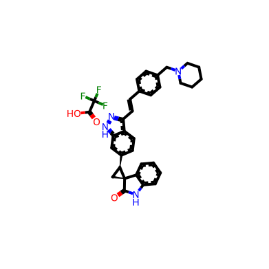 O=C(O)C(F)(F)F.O=C1Nc2ccccc2[C@]12C[C@H]2c1ccc2c(/C=C/c3ccc(CN4CCCCC4)cc3)n[nH]c2c1